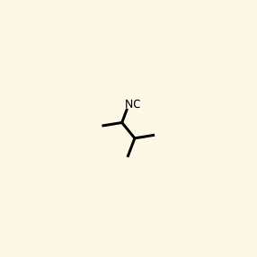 [C-]#[N+]C(C)C(C)C